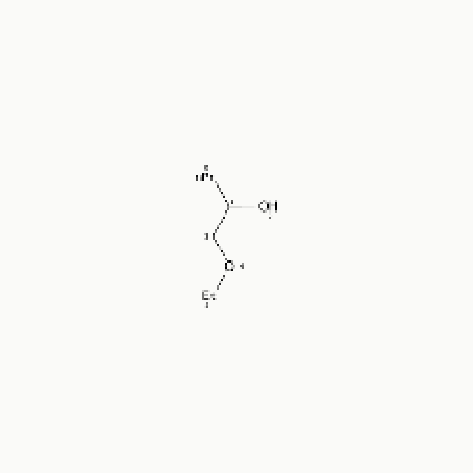 CCCC(O)COCC